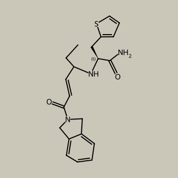 CCC(C=CC(=O)N1Cc2ccccc2C1)N[C@@H](Cc1cccs1)C(N)=O